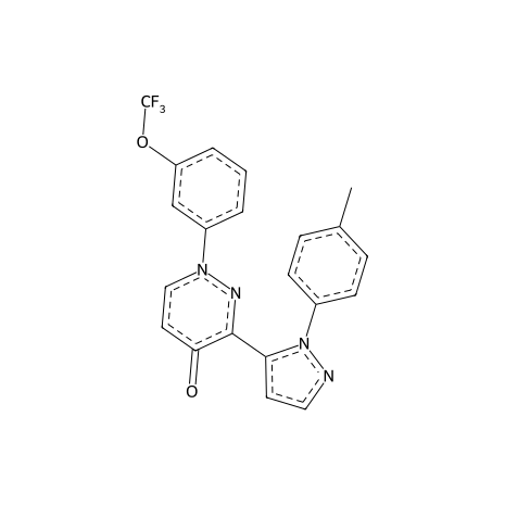 Cc1ccc(-n2nccc2-c2nn(-c3cccc(OC(F)(F)F)c3)ccc2=O)cc1